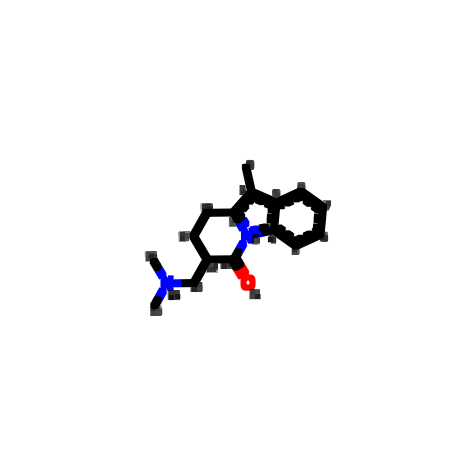 Cc1c2n(c3ccccc13)C(=O)C(CN(C)C)CC2